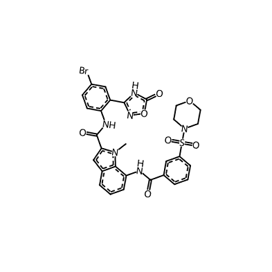 Cn1c(C(=O)Nc2ccc(Br)cc2-c2noc(=O)[nH]2)cc2cccc(NC(=O)c3cccc(S(=O)(=O)N4CCOCC4)c3)c21